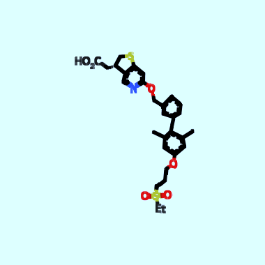 CCS(=O)(=O)CCCOc1cc(C)c(-c2cccc(COc3cc4c(cn3)[C@H](CC(=O)O)CS4)c2)c(C)c1